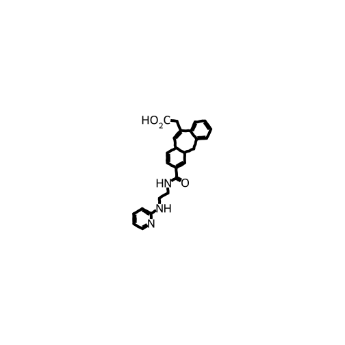 O=C(O)CC1=CC2C=CC(C(=O)NCCNc3ccccn3)=CC2Cc2ccccc21